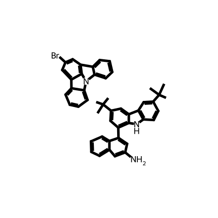 Brc1cc2c3ccccc3n3c4ccccc4c(c1)c23.CC(C)(C)c1ccc2[nH]c3c(-c4cc(N)cc5ccccc45)cc(C(C)(C)C)cc3c2c1